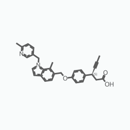 CC#C[C@@H](CC(=O)O)c1ccc(OCc2ccc3ccn(Cc4ccc(C)nc4)c3c2C)cc1